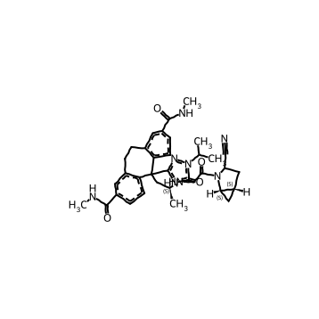 CNC(=O)c1ccc2c(c1)CCc1cc(C(=O)NC)ccc1C2(C[C@H](C)NCC(=O)N1C(C#N)C[C@@H]2C[C@@H]21)c1nn(C(C)C)c(=O)[nH]1